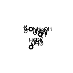 CN(C)C(=O)c1ccc(NC(=O)Nc2ccc(C[C@@H](CO)NC[C@H](O)COc3ccccc3)cc2)cc1.O=C(O)C(F)(F)F